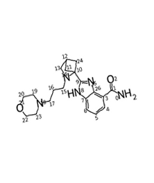 NC(=O)c1cccc2[nH]c(C34CC(CN3CCCN3CCOCC3)C4)nc12